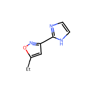 CCc1cc(-c2ncc[nH]2)no1